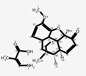 CC(=CN)C(=O)O.COC1=C2O[C@H]3C(=O)C=C[C@H]4[C@H]5CC(C=C1)C2[C@@]34CCN5C